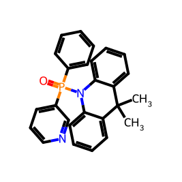 CC1(C)c2ccccc2N(P(=O)(c2ccccc2)c2cccnc2)c2ccccc21